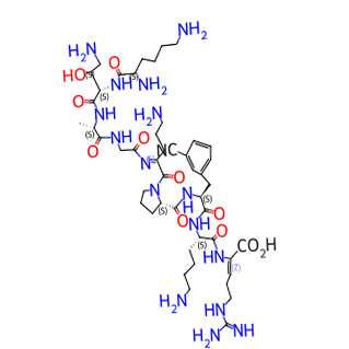 C[C@H](NC(=O)[C@@H](NC(=O)[C@@H](N)CCCCN)[C@@H](O)CN)C(=O)NCC(=O)/N=C(\CCCN)C(=O)N1CCC[C@H]1C(=O)N[C@@H](Cc1cccc(C#N)c1)C(=O)N[C@@H](CCCCN)C(=O)N/C(=C\CCNC(=N)N)C(=O)O